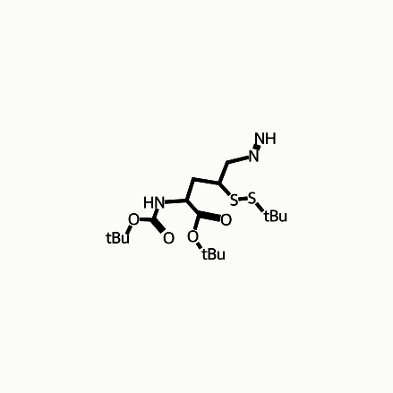 CC(C)(C)OC(=O)NC(CC(CN=N)SSC(C)(C)C)C(=O)OC(C)(C)C